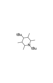 CC1C(C)N(C(C)(C)C)C(C)C(C)C1C(C)(C)C